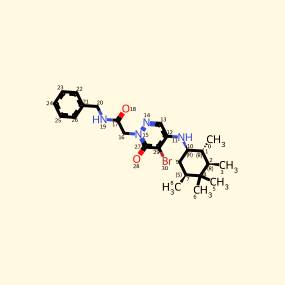 C[C@@H]1[C@@H](C)C(C)(C)[C@@H](C)C[C@H]1Nc1cnn(CC(=O)NCc2ccccc2)c(=O)c1Br